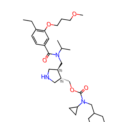 CCc1ccc(C(=O)N(C[C@@H]2CNC[C@H]2COC(=O)N(CC2CCOCC2)C2CC2)C(C)C)cc1OCCCOC